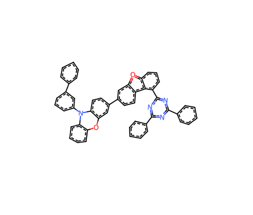 c1ccc(-c2cccc(N3c4ccccc4Oc4cc(-c5ccc6c(c5)oc5cccc(-c7nc(-c8ccccc8)nc(-c8ccccc8)n7)c56)ccc43)c2)cc1